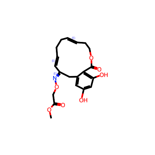 COC(=O)CO/N=C1/C=C/CC/C=C/CCOC(=O)c2c(O)cc(O)cc2C1